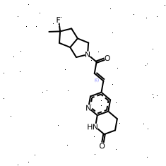 CC1(F)CC2CN(C(=O)/C=C/c3cnc4c(c3)CCC(=O)N4)CC2C1